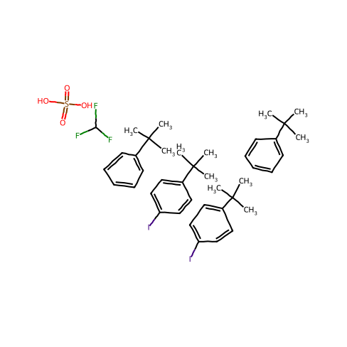 CC(C)(C)c1ccc(I)cc1.CC(C)(C)c1ccc(I)cc1.CC(C)(C)c1ccccc1.CC(C)(C)c1ccccc1.FC(F)F.O=S(=O)(O)O